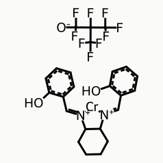 Oc1ccccc1C=[N+]1[Cr][N+](=Cc2ccccc2O)C2CCCCC21.[O-]C(F)(F)C(F)(C(F)(F)F)C(F)(F)F